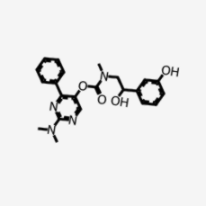 CN(CC(O)c1cccc(O)c1)C(=O)Oc1cnc(N(C)C)nc1-c1ccccc1